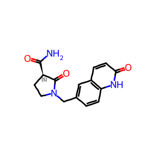 NC(=O)[C@@H]1CCN(Cc2ccc3[nH]c(=O)ccc3c2)C1=O